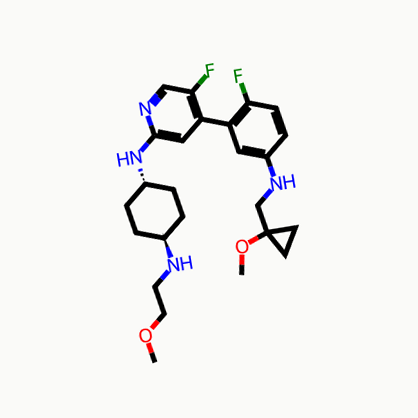 COCCN[C@H]1CC[C@H](Nc2cc(-c3cc(NCC4(OC)CC4)ccc3F)c(F)cn2)CC1